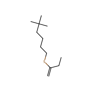 C=C(CC)SCCCCC(C)(C)C